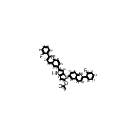 CC(=O)OC1=Cc2[nH]c(-c3ccc4nc(-c5ccccc5F)ccc4c3)cc2[SH]1c1ccc2nc(-c3ccccc3F)ccc2c1